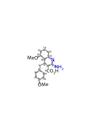 COc1ccc(Cc2c(C(=O)O)c(N)nc3cccc(OC)c23)cc1